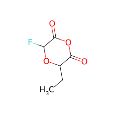 CCC1OC(F)C(=O)OC1=O